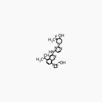 CC(C)c1ccc(N2CC[C@H]2CO)c2cnc(Nc3ccnc(N4CC[C@@H](O)[C@@](C)(F)C4)n3)cc12